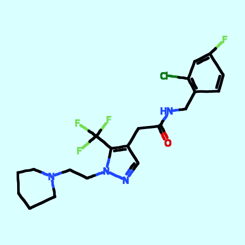 O=C(Cc1cnn(CCN2CCCCC2)c1C(F)(F)F)NCc1ccc(F)cc1Cl